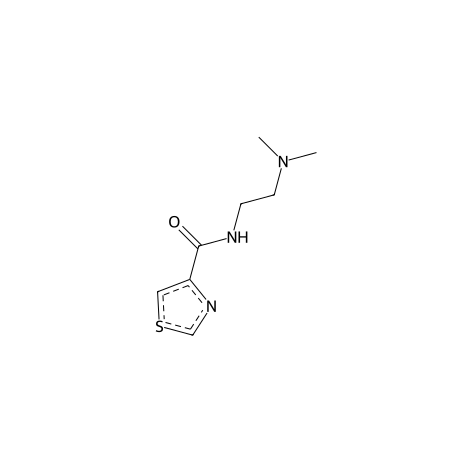 CN(C)CCNC(=O)c1cscn1